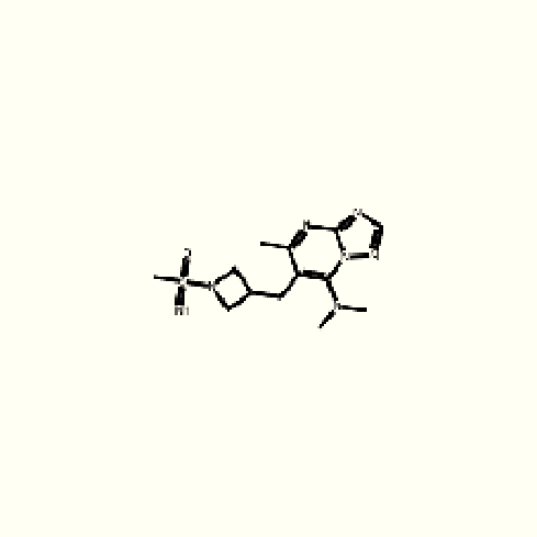 Cc1nc2ncnn2c(N(C)C)c1CC1CN(S(C)(=N)=O)C1